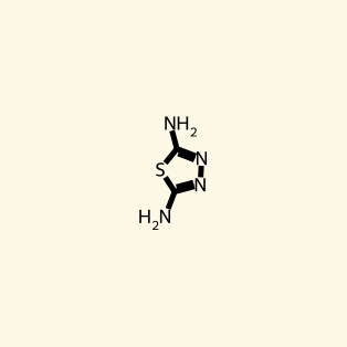 Nc1nnc(N)s1